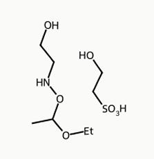 CCOC(C)ONCCO.O=S(=O)(O)CCO